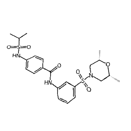 CC(C)S(=O)(=O)Nc1ccc(C(=O)Nc2cccc(S(=O)(=O)N3C[C@@H](C)O[C@@H](C)C3)c2)cc1